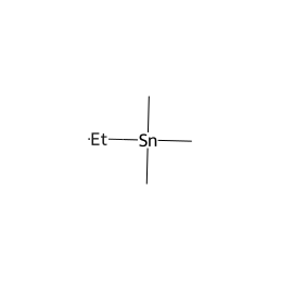 C[CH][Sn]([CH3])([CH3])[CH3]